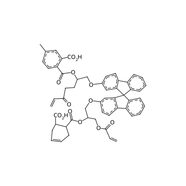 C=CC(=O)CCC(COc1ccc2c(c1)C1(c3ccccc3-2)c2ccccc2-c2ccc(OCC(COC(=O)C=C)OC(=O)C3CC=CCC3C(=O)O)cc21)OC(=O)c1ccc(C)cc1C(=O)O